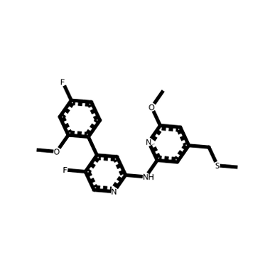 COc1cc(CSC)cc(Nc2cc(-c3ccc(F)cc3OC)c(F)cn2)n1